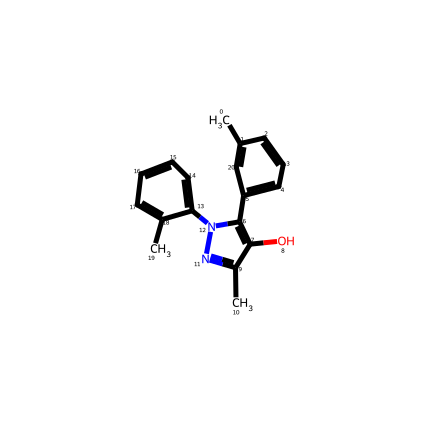 Cc1cccc(-c2c(O)c(C)nn2-c2ccccc2C)c1